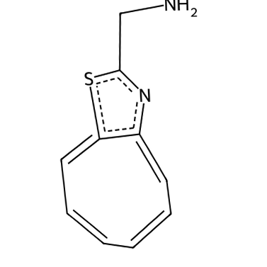 NCc1nc2/c(s1)=C\C=C/C=C\C=2